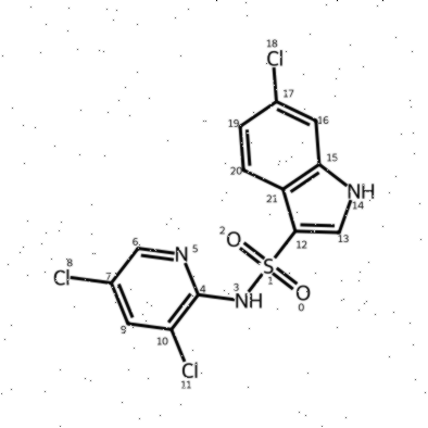 O=S(=O)(Nc1ncc(Cl)cc1Cl)c1c[nH]c2cc(Cl)ccc12